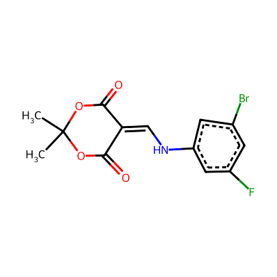 CC1(C)OC(=O)C(=CNc2cc(F)cc(Br)c2)C(=O)O1